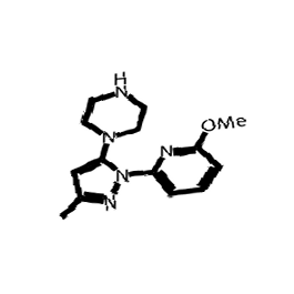 COc1cccc(-n2nc(C)cc2N2CCNCC2)n1